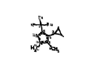 Cc1c(C2CC2)c(C(F)(F)F)nn1C